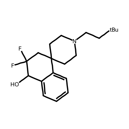 CC(C)(C)CCN1CCC2(CC1)CC(F)(F)C(O)c1ccccc12